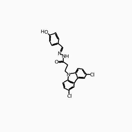 O=C(CCn1c2ccc(Cl)cc2c2cc(Cl)ccc21)N/N=C/c1ccc(O)cc1